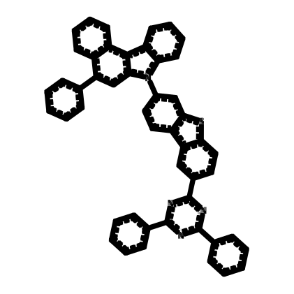 c1ccc(-c2nc(-c3ccccc3)nc(-c3ccc4sc5cc(-n6c7ccccc7c7c8ccccc8c(-c8ccccc8)cc76)ccc5c4c3)n2)cc1